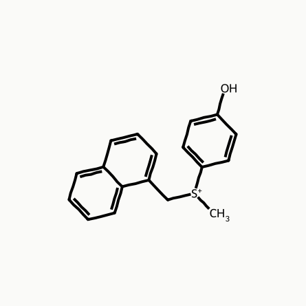 C[S+](Cc1cccc2ccccc12)c1ccc(O)cc1